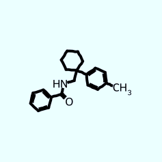 Cc1ccc(C2(CNC(=O)c3ccccc3)CCCCC2)cc1